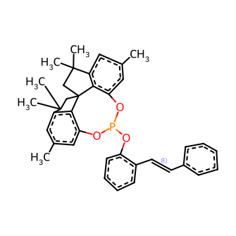 Cc1cc2c3c(c1)C(C)(C)CC31CC(C)(C)c3cc(C)cc(c31)OP(Oc1ccccc1/C=C/c1ccccc1)O2